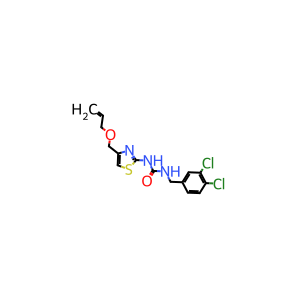 C=CCOCc1csc(NC(=O)NCc2ccc(Cl)c(Cl)c2)n1